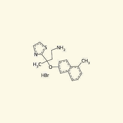 Br.Cc1cccc2cc(OC(C)(CCN)c3nccs3)ccc12